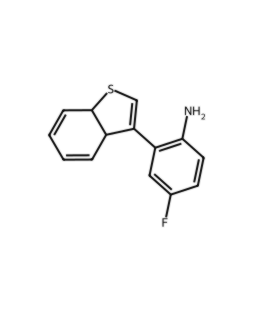 Nc1ccc(F)cc1C1=CSC2C=CC=CC12